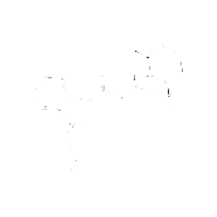 C=CCn1nc(C(=O)N[C@H]2C[C@H]3COC[C@@H](C2)N3CCCC)c2ccccc21